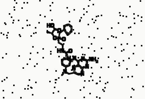 C[C@H](OP(=O)(CCNC(=O)c1ccc(N(C)Cc2cnc3nc(N)nc(N)c3n2)cc1)Cc1ccccc1)C(=O)O